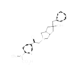 CC(C)(C)N(C(=O)O)c1ccc(C(=O)CN2CC3CC(O)(Cc4ccccc4)CC3C2)cn1